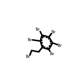 BrCCc1c(Br)c(Br)c(Br)c(Br)c1Br